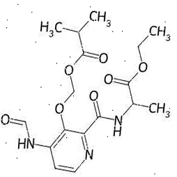 CCOC(=O)C(C)NC(=O)c1nccc(NC=O)c1OCOC(=O)C(C)C